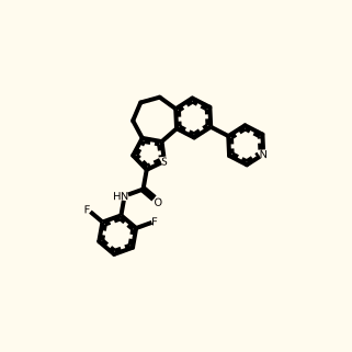 O=C(Nc1c(F)cccc1F)c1cc2c(s1)-c1cc(-c3ccncc3)ccc1CCC2